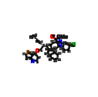 CCCC#C[C@@H](COc1ccnc2ccsc12)CC1=Cc2ccccc2C12CCC(Nc1cccc(Cl)c1)(C(=O)OC)CC2